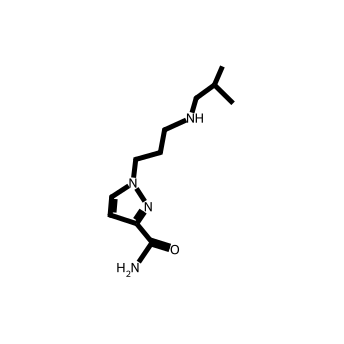 CC(C)CNCCCn1ccc(C(N)=O)n1